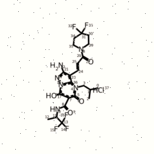 CC(C)Cn1c(=O)c(C(=O)NC(C)C(F)(F)F)c(O)n2nc(N)c(/C=C/C(=O)N3CCC(F)(F)CC3)c12.Cl